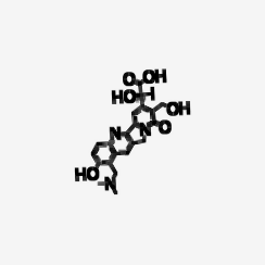 CN(C)Cc1c(O)ccc2nc3c(cc12)Cn1c-3cc([C@@](O)(I)C(=O)O)c(CO)c1=O